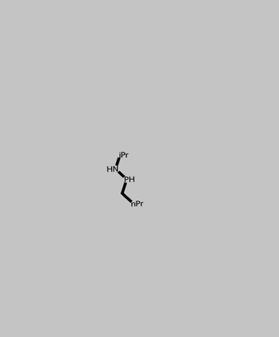 CCCCPNC(C)C